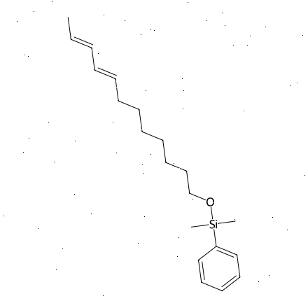 CC=CC=CCCCCCCCO[Si](C)(C)c1ccccc1